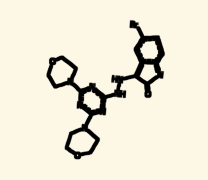 O=C1N=c2ccc(Br)cc2=C1NNc1nc(N2CCOCC2)nc(N2CCOCC2)n1